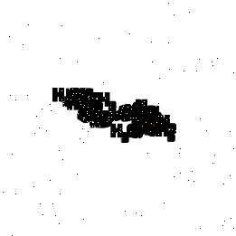 COC(=O)N[C@H](C(=O)N1CCC[C@H]1c1nc2ccc(C#Cc3ccc(-c4cnc(C5CSC6(CCOCC6)N5C(=O)[C@@H](NC(=O)OC)C(C)C)[nH]4)cc3)cc2[nH]1)C(C)C